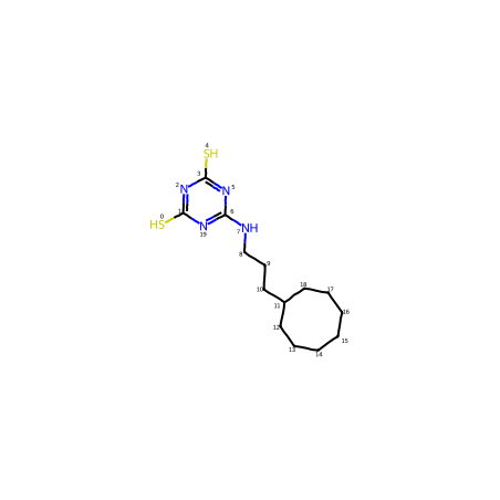 Sc1nc(S)nc(NCCCC2CCCCCCC2)n1